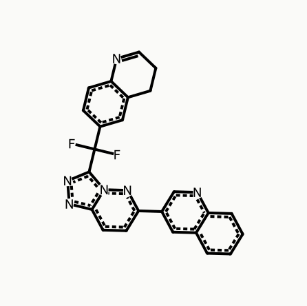 FC(F)(c1ccc2c(c1)CCC=N2)c1nnc2ccc(-c3cnc4ccccc4c3)nn12